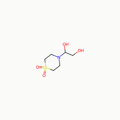 O=S1(=O)CCN(C(O)CO)CC1